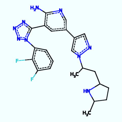 CC1CCC(CC(C)n2cc(-c3cnc(N)c(-c4nnnn4-c4cccc(F)c4F)c3)cn2)N1